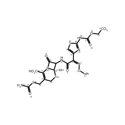 CCCO/N=C(\C(=O)NC1C(=O)N2C(C(=O)O)=C(CSC(N)=O)CS[C@H]12)c1csc(NC(=O)OCC(Cl)(Cl)Cl)n1